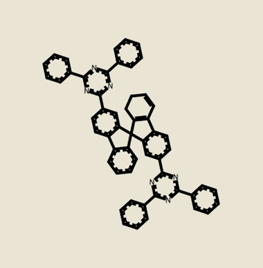 C1=CC2=C(CC1)C1(c3cc(-c4nc(-c5ccccc5)nc(-c5ccccc5)n4)ccc32)c2ccccc2-c2ccc(-c3nc(-c4ccccc4)nc(-c4ccccc4)n3)cc21